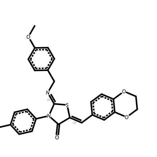 COc1ccc(C/N=C2\S/C(=C\c3ccc4c(c3)OCCO4)C(=O)N2c2ccc(Cl)cc2)cc1